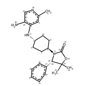 Cc1cc(N[C@H]2CC[C@H](N3C(=O)OC(C)(C)[C@@H]3c3ccccc3)CC2)c(N)cn1